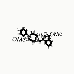 COC(=O)c1ccccc1C(N)CN1CCN(c2ccccc2OC)CC1